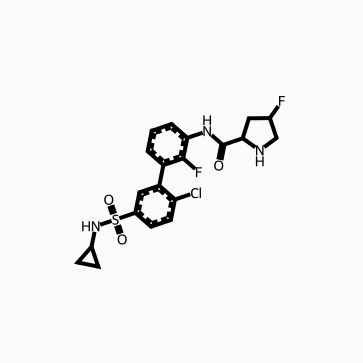 O=C(Nc1cccc(-c2cc(S(=O)(=O)NC3CC3)ccc2Cl)c1F)C1CC(F)CN1